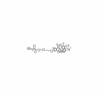 COc1cc(OCCCCOCCOCC(=O)NC(C)C(C)(C)C)ncc1N(C(=S)N(C)c1ccc(C#N)c(C(F)(F)F)c1F)C(C)(C)C=O